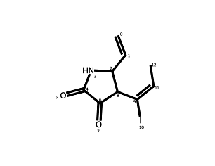 C=CC1NC(=O)C(=O)C1/C(I)=C\C